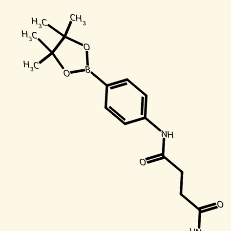 CC1(C)OB(c2ccc(NC(=O)CCC(=O)NN)cc2)OC1(C)C